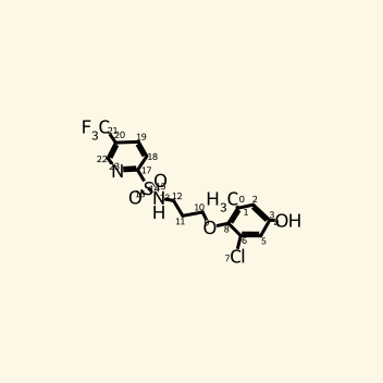 Cc1cc(O)cc(Cl)c1OCCCNS(=O)(=O)c1ccc(C(F)(F)F)cn1